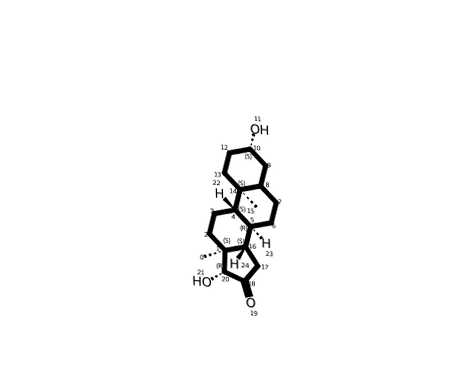 C[C@]12CC[C@H]3[C@@H](CCC4C[C@@H](O)CC[C@@]43C)[C@@H]1CC(=O)[C@@H]2O